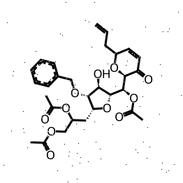 C=CCC1C=CC(=O)[C@@H]([C@@H](OC(C)=O)[C@@H]2O[C@H](CC(COC(C)=O)OC(C)=O)[C@H](OCc3ccccc3)[C@H]2O)O1